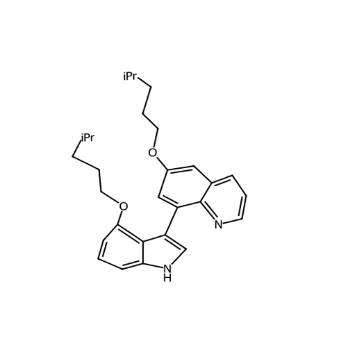 CC(C)CCCOc1cc(-c2c[nH]c3cccc(OCCCC(C)C)c23)c2ncccc2c1